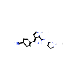 CN1CCC[C@@H](Nc2nnc(-c3ccc(C#N)cc3Cl)c3ccn(C)c23)C1